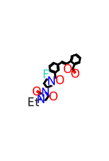 CCN1CC(=O)N(C2CCN(C(=O)c3cc(C=C4OC(=O)c5ccccc54)ccc3F)C2)C1=O